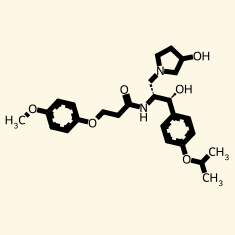 COc1ccc(OCCC(=O)N[C@H](CN2CCC(O)C2)[C@H](O)c2ccc(OC(C)C)cc2)cc1